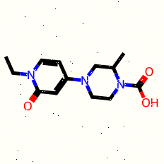 CCn1ccc(N2CCN(C(=O)O)C(C)C2)cc1=O